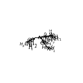 CC[C@H](N)C(=O)Nc1ccc(CCCN(CCCNC(=O)[C@H](N)CCCCNC(=N)N)CCCNC(=O)[C@H](N)CCCCNC(=N)N)cc1